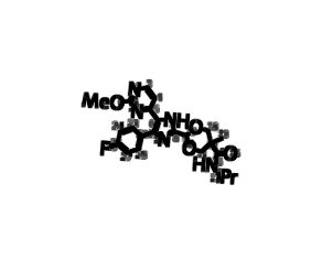 COc1nccc(-c2[nH]c(C3OCC(C)(C(=O)NC(C)C)CO3)nc2-c2ccc(F)cc2)n1